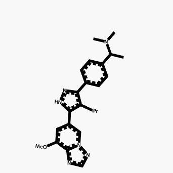 COc1cc(-c2[nH]nc(-c3ccc(C(C)N(C)C)cc3)c2C(C)C)cn2ncnc12